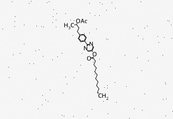 C=CCCCCCCCCCC(=O)Oc1cnc(-c2ccc(CCC(C)OC(C)=O)cc2)nc1